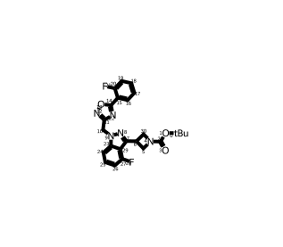 CC(C)(C)OC(=O)N1CC(c2nn(Cc3noc(-c4ccccc4F)n3)c3cccc(F)c23)C1